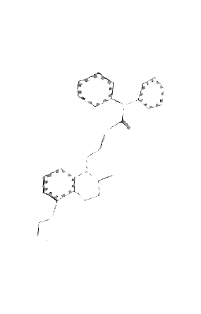 CCOC(=O)COc1cccc2c1CCC(F)C2CCOC(=O)N(c1ccccc1)c1ccccc1